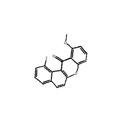 COc1cccc2oc3ccc4cccc(F)c4c3c(=O)c12